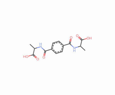 CC(NC(=O)c1ccc(C(=O)NC(C)C(=O)O)cc1)C(=O)O